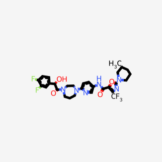 CC1CCCN(c2nc(C(F)(F)F)c(C(=O)Nc3ccc(N4CCCN(C(=O)C(O)c5ccc(F)c(F)c5)CC4)nc3)o2)C1